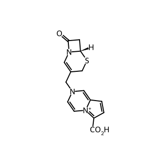 O=C(O)c1ccc2cn(CC3=CN4C(=O)C[C@@H]4SC3)cc[n+]1-2